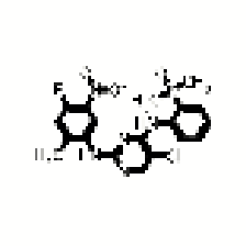 Cc1cc(F)c([N+](=O)[O-])cc1Nc1ncc(Cl)c(Nc2ccccc2P(C)(C)=O)n1